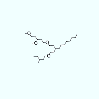 CCCCCCCCC(CCOCCC(C)CC)CCOCCC(CCOC)OC